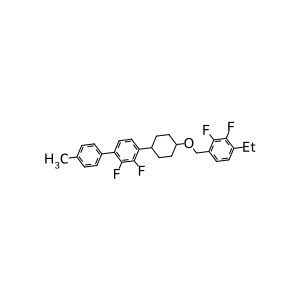 CCc1ccc(COC2CCC(c3ccc(-c4ccc(C)cc4)c(F)c3F)CC2)c(F)c1F